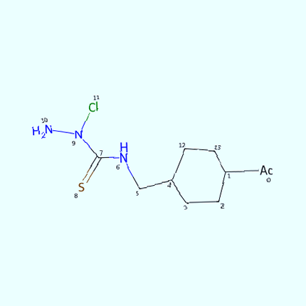 CC(=O)C1CCC(CNC(=S)N(N)Cl)CC1